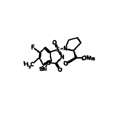 COC(=O)[C@@H]1CCCN1[S@](=O)(=NC(=O)OC(C)(C)C)c1ccc(C)c(F)c1